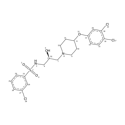 O=S(=O)(NC[C@@H](O)CN1CCC(Oc2ccc(Cl)c(Cl)c2)CC1)c1cccc(Cl)c1